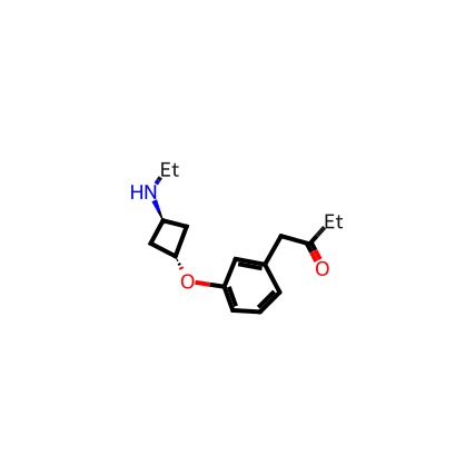 CCN[C@H]1C[C@H](Oc2cccc(CC(=O)CC)c2)C1